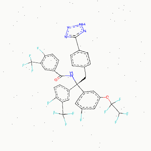 O=C(N[C@](Cc1ccc(-c2nn[nH]n2)cc1)(c1cc(F)cc(OC(F)(F)C(F)F)c1)c1ccc(F)c(C(F)(F)F)c1)c1ccc(F)c(C(F)(F)F)c1